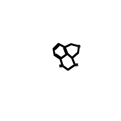 c1cc2c3c(c1)NCNC3COC2